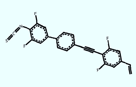 C=Cc1cc(F)c(C#Cc2ccc(-c3cc(F)c(N=C=S)c(F)c3)cc2)c(F)c1